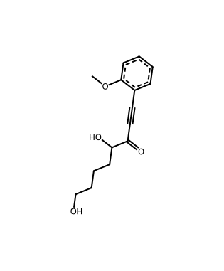 COc1ccccc1C#CC(=O)C(O)CCCCO